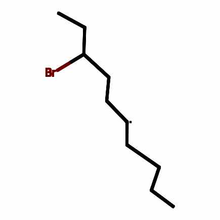 CCCC[CH]CCC(Br)CC